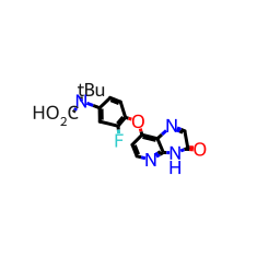 CC(C)(C)N(C(=O)O)c1ccc(Oc2ccnc3[nH]c(=O)cnc23)c(F)c1